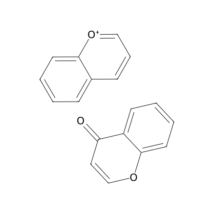 O=c1ccoc2ccccc12.c1ccc2[o+]cccc2c1